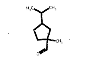 CC(C)C1CCC(C)([C]=O)C1